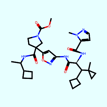 COC(=O)N1CCC(C(=O)NC(C)C2CCC2)(c2cc(NC(=O)[C@@H](NC(=O)c3ccnn3C)C(C3CCC3)C3(C)CC3)no2)C1